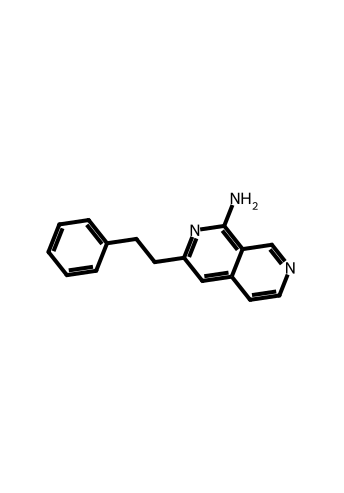 Nc1nc(CCc2ccccc2)cc2ccncc12